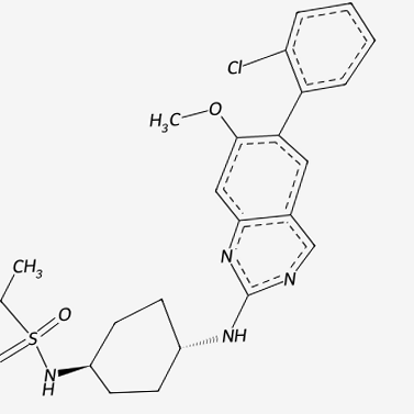 CCS(=O)(=O)N[C@H]1CC[C@H](Nc2ncc3cc(-c4ccccc4Cl)c(OC)cc3n2)CC1